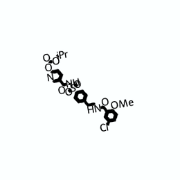 COc1ccc(Cl)cc1C(=O)NCCc1ccc(S(=O)(=O)NC(=O)c2ccc(OC(=O)OC(C)C)nc2)cc1